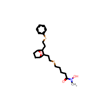 CN(O)C(=O)CCCCSCCC1C2CCC(O2)C1CCSc1ccccc1